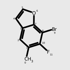 Cc1cc2ccoc2c(Br)c1F